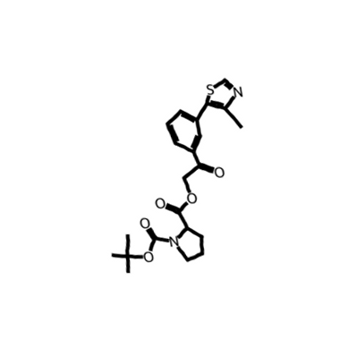 Cc1ncsc1-c1cccc(C(=O)COC(=O)C2CCCN2C(=O)OC(C)(C)C)c1